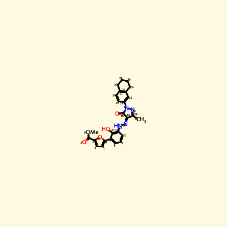 COC(=O)c1ccc(-c2cccc(N/N=C3\C(=O)N(c4ccc5c(c4)CCCC5)N=C3C)c2O)o1